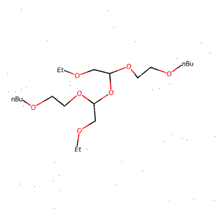 CCCCOCCOC(COCC)OC(COCC)OCCOCCCC